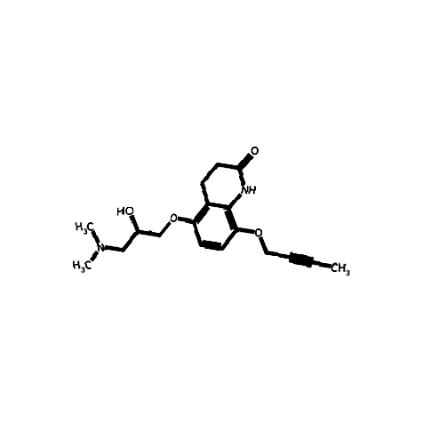 CC#CCOc1ccc(OCC(O)CN(C)C)c2c1NC(=O)CC2